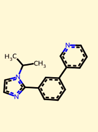 CC(C)n1ccnc1-c1cccc(-c2cccnc2)c1